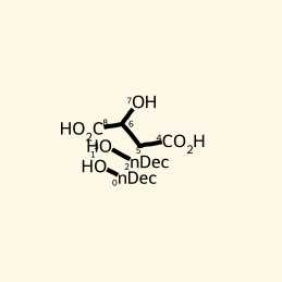 CCCCCCCCCCO.CCCCCCCCCCO.O=C(O)CC(O)C(=O)O